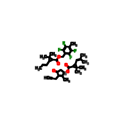 C#CCC1=C(C)[C@@H](OC(=O)C2C(C=C(C)C)C2(C)C)CC1=O.CC=CC1C(C(=O)OCc2c(F)c(F)c(C)c(F)c2F)C1(C)C